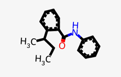 CCC(C)c1ccccc1C(=O)Nc1ccccc1